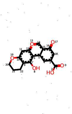 O=C(O)c1cc2c3c(O)c4c(cc3occ-2c(=O)c1)OCCC4